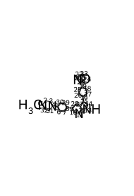 CN1CCN(c2ccc(-c3cnc4[nH]cc(-c5ccc(-c6ncco6)cc5)c4c3)cc2)CC1